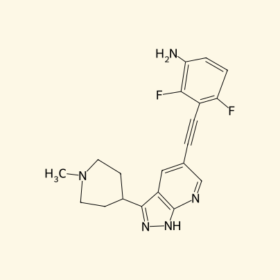 CN1CCC(c2n[nH]c3ncc(C#Cc4c(F)ccc(N)c4F)cc23)CC1